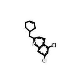 Clc1cc(Cl)c2ccc(CC3CC=CCC3)nc2c1